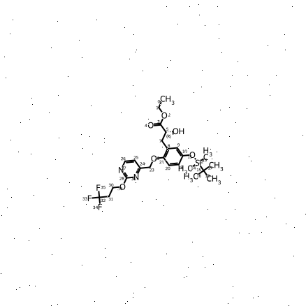 CCOC(=O)[C@H](O)Cc1cc(O[Si](C)(C)C(C)(C)C)ccc1OCc1ccnc(OCCC(F)(F)F)n1